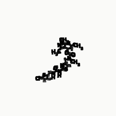 Cc1cc(OC(=O)N(C)Cc2csc(NC(=O)NCc3ccc(Cl)s3)n2)c2c(C)nn(C)c2n1